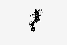 Cc1cc(Nc2nc(NCc3cc(-c4ccccc4)no3)ncc2Br)n[nH]1